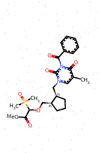 COC(=O)C(OC[C@@H]1CCC[C@@H]1Cn1cc(C)c(=O)n(C(=O)c2ccccc2)c1=O)P(C)(C)=O